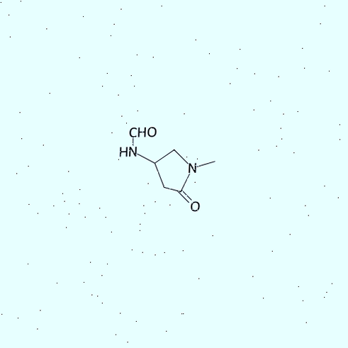 CN1CC(NC=O)CC1=O